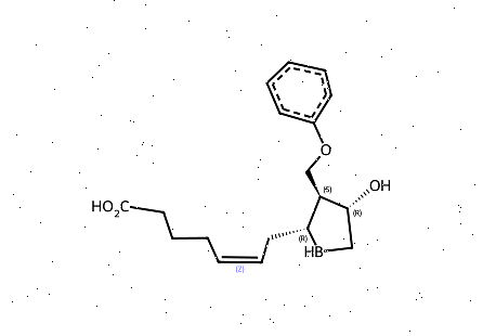 O=C(O)CCC/C=C\C[C@H]1BC[C@@H](O)[C@@H]1COc1ccccc1